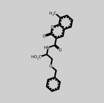 Cc1cccc2cc(C(=O)NC(COCc3ccccc3)C(=O)O)c(=O)oc12